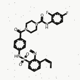 C=Nc1c(/C=C\C)cccc1S(=O)(=O)Nc1ccc(C(=O)N2CCN(C(=O)Nc3ccc(F)cc3F)CC2)cc1